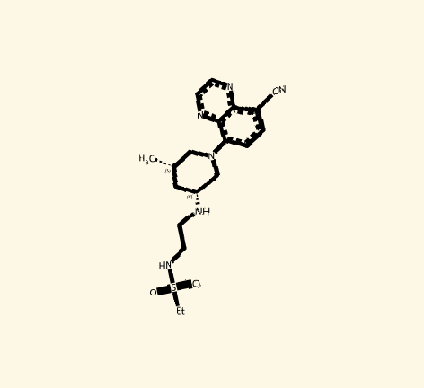 CCS(=O)(=O)NCCN[C@@H]1C[C@H](C)CN(c2ccc(C#N)c3nccnc23)C1